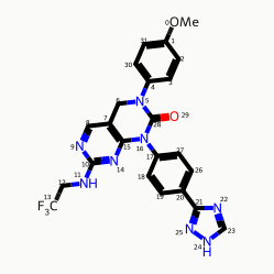 COc1ccc(N2Cc3cnc(NCC(F)(F)F)nc3N(c3ccc(-c4nc[nH]n4)cc3)C2=O)cc1